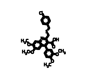 COc1ccc(-c2c(C(=O)O)c(CSCc3ccc(Cl)cc3)nc3cc(OC)c(OC)cc23)cc1OC